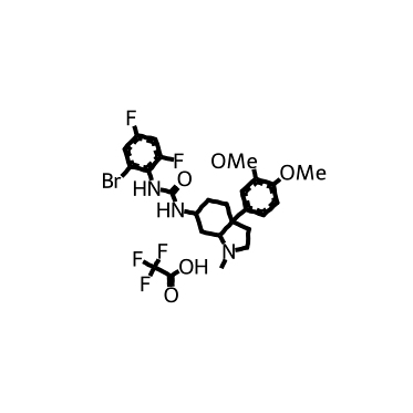 COc1ccc(C23CCC(NC(=O)Nc4c(F)cc(F)cc4Br)CC2N(C)CC3)cc1OC.O=C(O)C(F)(F)F